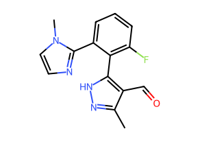 Cc1n[nH]c(-c2c(F)cccc2-c2nccn2C)c1C=O